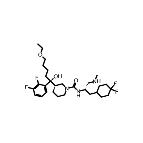 CCOCCCC[C@@](O)(c1cccc(F)c1F)[C@@H]1CCCN(C(=O)N[C@H](CNC)CC2CCC(F)(F)CC2)C1